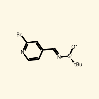 CC(C)(C)[S@+]([O-])/N=C/c1ccnc(Br)c1